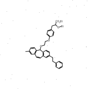 CCOC(=O)C(Cc1ccc(OCCOC2c3ccc(C)cc3C=Cc3cc(CCc4ccccc4)ccc32)cc1)OCC